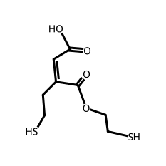 O=C(O)C=C(CCS)C(=O)OCCS